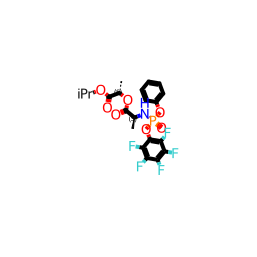 CC(C)OC(=O)[C@H](C)OC(=O)[C@H](C)NP(=O)(Oc1ccccc1)Oc1c(F)c(F)c(F)c(F)c1F